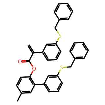 C=C(C(=O)Oc1ccc(C)cc1-c1cccc(SCc2ccccc2)c1)c1cccc(SCc2ccccc2)c1